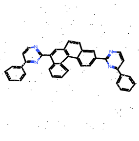 c1ccc(-c2ccnc(-c3ccc4c(ccc5cc(-c6nccc(-c7ccccc7)n6)c6ccccc6c54)c3)n2)cc1